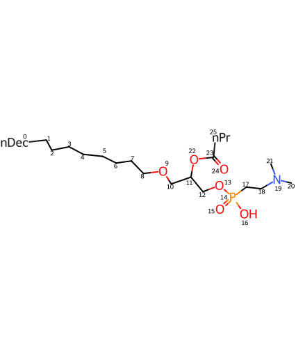 CCCCCCCCCCCCCCCCCCOCC(COP(=O)(O)CCN(C)C)OC(=O)CCC